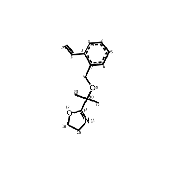 C=Cc1ccccc1COC(C)(C)C1=NCCO1